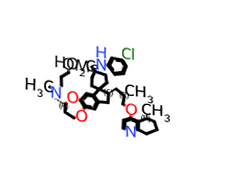 COCCCN(C)C[C@H]1CCOc2cc3c(cc2O1)C1(CCC(Nc2cccc(Cl)c2)(C(=O)O)CC1)[C@@H](C[C@@H](C)COc1ccnc2c1[C@H](C)CCC2)C3